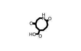 O=C1CCNC(=O)CCCC(C(=O)O)C1